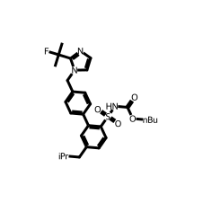 CCCCOC(=O)NS(=O)(=O)c1ccc(CC(C)C)cc1-c1ccc(Cn2ccnc2C(C)(C)F)cc1